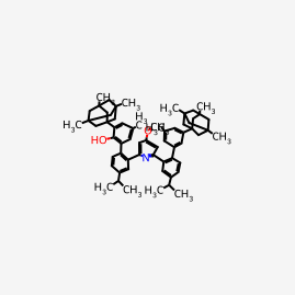 COc1cc(-c2cc(C(C)C)ccc2-c2cc(C)cc(C34CC5(C)CC(C)(CC(C)(C5)C3)C4)c2)nc(-c2cc(C(C)C)ccc2-c2cc(C)cc(C34CC5(C)CC(C)(CC(C)(C5)C3)C4)c2O)c1